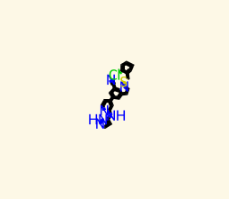 N#Cc1cc(-c2ccnc(Nc3ccn[nH]3)c2)cc2c1N(SCc1ccccc1Cl)CC2